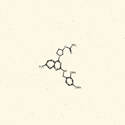 COc1ccc(CNc2nc(N3CCC(OC(N)=O)C3)c3ccc(N)cc3n2)c(OC)c1